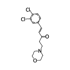 O=C(C=Cc1ccc(Cl)c(Cl)c1)CCN1CCOCC1